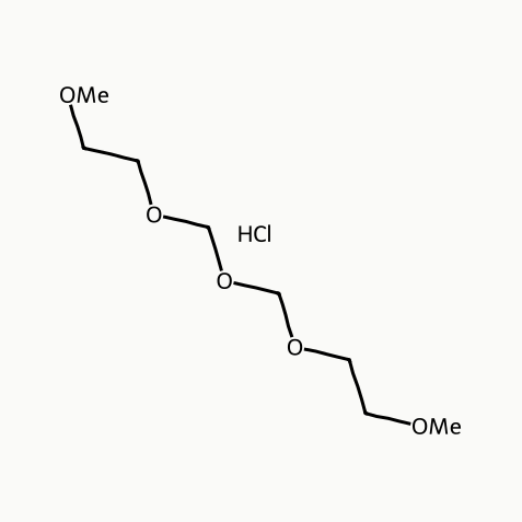 COCCOCOCOCCOC.Cl